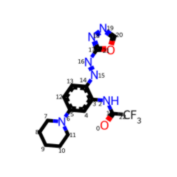 O=C(Nc1cc(N2CCCCC2)ccc1N=Nc1nnco1)C(F)(F)F